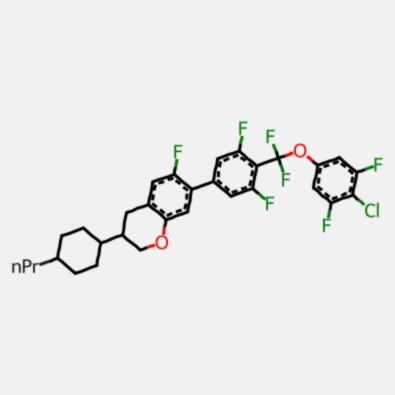 CCCC1CCC(C2COc3cc(-c4cc(F)c(C(F)(F)Oc5cc(F)c(Cl)c(F)c5)c(F)c4)c(F)cc3C2)CC1